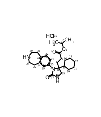 CC(C)OC(=O)CCC1(C2CCCCC2)CNC(=O)N1c1ccc2c(c1)CCNCC2.Cl